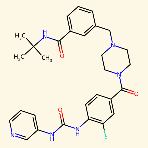 CC(C)(C)NC(=O)c1cccc(CN2CCN(C(=O)c3ccc(NC(=O)Nc4cccnc4)c(F)c3)CC2)c1